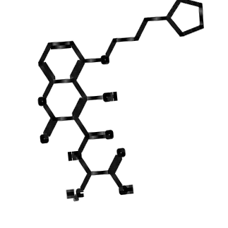 CC(NC(=O)c1c(O)c2c(OCCCC3CCCC3)cccc2oc1=O)C(=O)O